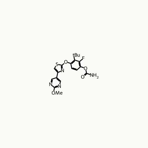 COc1ncc(-c2csc(Oc3ccc(OC(N)=O)c(F)c3C(C)(C)C)n2)cn1